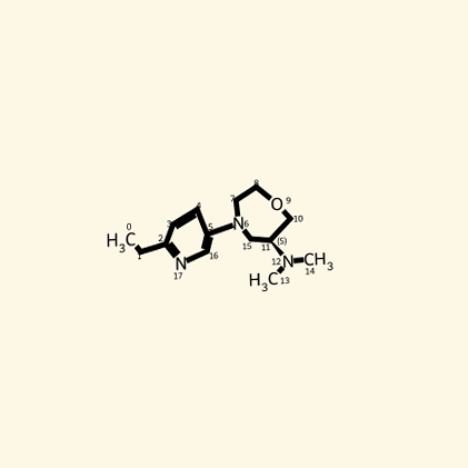 CCc1ccc(N2CCOC[C@@H](N(C)C)C2)cn1